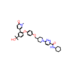 Cn1cc(-c2cc(C(C)(C)O)ccc2Oc2ccc(OCC3CCN(c4ccc(C(=O)NC5CCCCC5)nn4)CC3)cc2)ccc1=O